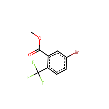 COC(=O)c1cc(Br)ccc1C(F)(F)F